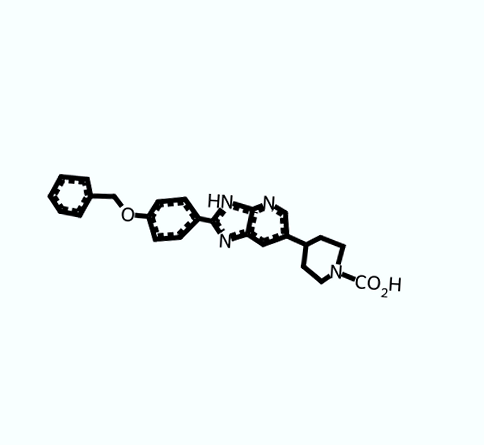 O=C(O)N1CCC(c2cnc3[nH]c(-c4ccc(OCc5ccccc5)cc4)nc3c2)CC1